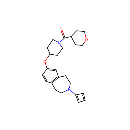 O=C(C1CCOCC1)N1CCC(Oc2ccc3c(c2)CCN(C2=CC=C2)CC3)CC1